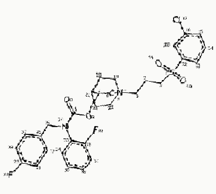 O=C(OC1C[N+]2(CCCS(=O)(=O)c3cccc(Cl)c3)CCC1CC2)N(Cc1ccc(F)cc1)c1ccccc1F